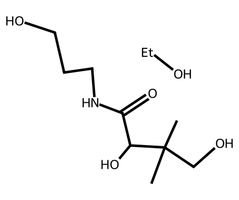 CC(C)(CO)C(O)C(=O)NCCCO.CCO